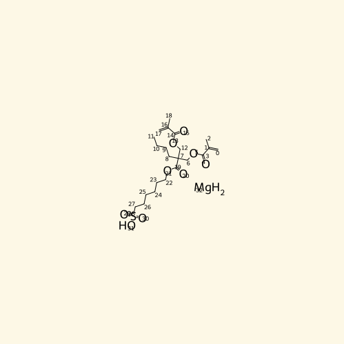 C=C(C)C(=O)OCC(CCCC)(COC(=O)C(=C)C)C(=O)OCCCCCCS(=O)(=O)O.[MgH2]